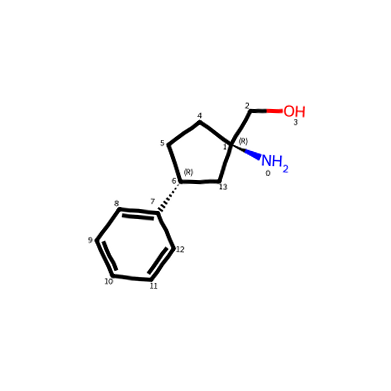 N[C@]1(CO)CC[C@@H](c2ccccc2)C1